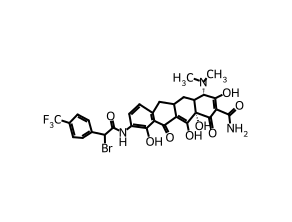 CN(C)[C@@H]1C(O)=C(C(N)=O)C(=O)[C@@]2(O)C(O)=C3C(=O)c4c(ccc(NC(=O)C(Br)c5ccc(C(F)(F)F)cc5)c4O)CC3CC12